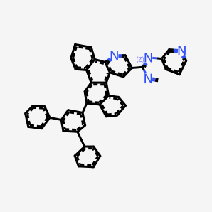 C=N/C(=N\c1cccnc1)c1cnc2c3ccccc3c3cc(-c4cc(-c5ccccc5)cc(-c5ccccc5)c4)c4ccccc4c3c2c1